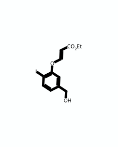 CCOC(=O)/C=C/Oc1cc(CO)ccc1I